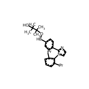 CC(C)c1cccc(C(C)C)c1-n1ccnc1-c1ccc(BOC(C)(C)C(C)(C)O)cc1